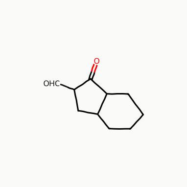 O=CC1CC2CCCCC2C1=O